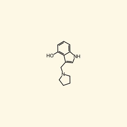 Oc1cccc2[nH]cc(CN3CCCC3)c12